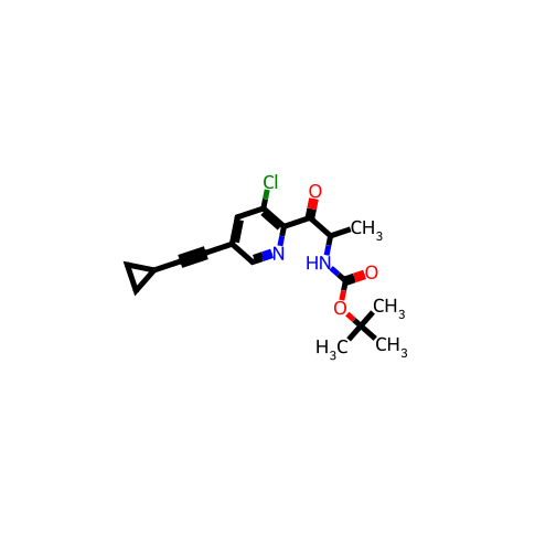 CC(NC(=O)OC(C)(C)C)C(=O)c1ncc(C#CC2CC2)cc1Cl